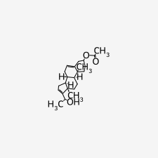 CC(=O)OC1CC[C@@]2(C)C(=CC[C@@H]3[C@@H]2CC[C@]2(C)C(C(C)O)=CC[C@@H]32)C1